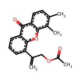 C=C(COC(C)=O)c1cccc2c(=O)c3ccc(C)c(C)c3oc12